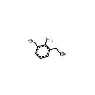 CC(C)(C)Cc1cccc(C(C)(C)C)c1N